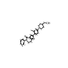 Cc1nc(N2CCC(CO)CC2)ccc1-c1nc2c(s1)C(=O)N(c1cccnc1)CC2